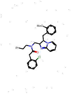 COc1ccccc1CC1C(CN(CCC(C)C)C(=O)Cc2ccccc2Cl)N=C2C=CC=CN21